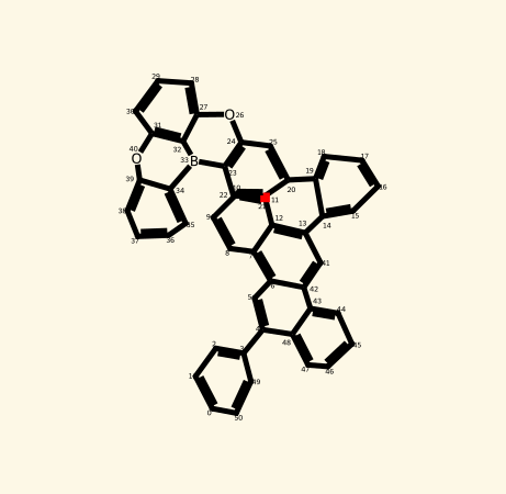 c1ccc(-c2cc3c4ccccc4c(-c4ccccc4-c4ccc5c(c4)Oc4cccc6c4B5c4ccccc4O6)cc3c3ccccc23)cc1